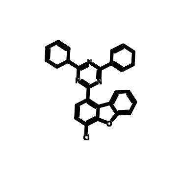 Clc1ccc(-c2nc(C3=CCCC=C3)nc(C3C=CC=CC3)n2)c2c1oc1ccccc12